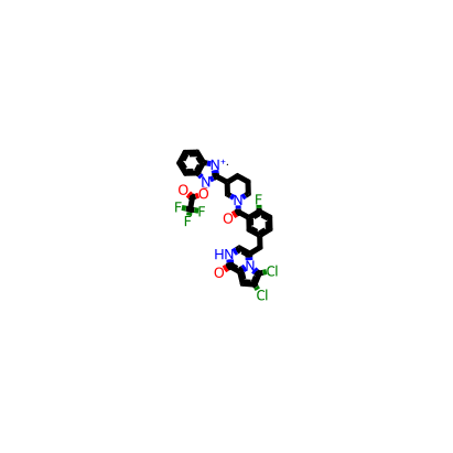 O=C(c1cc(Cc2c[nH]c(=O)c3cc(Cl)c(Cl)n23)ccc1F)N1CCCC(C2=[N+]c3ccccc3N2OC(=O)C(F)(F)F)C1